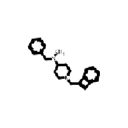 CN(Cc1ccccc1)C1CCN(CC2=Cc3ccccc32)CC1